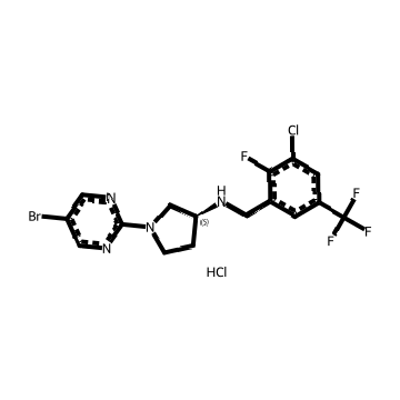 Cl.Fc1c(Cl)cc(C(F)(F)F)cc1CN[C@H]1CCN(c2ncc(Br)cn2)C1